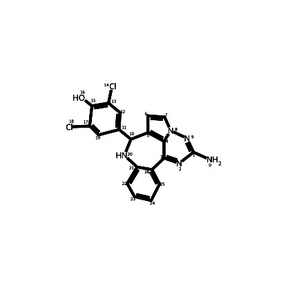 Nc1nc2c3c(ccn3n1)C(c1cc(Cl)c(O)c(Cl)c1)Nc1ccccc1-2